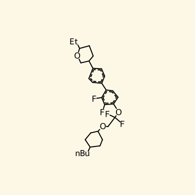 CCCCC1CCC(OCC(F)(F)Oc2ccc(-c3ccc(C4CCC(CC)OC4)cc3)c(F)c2F)CC1